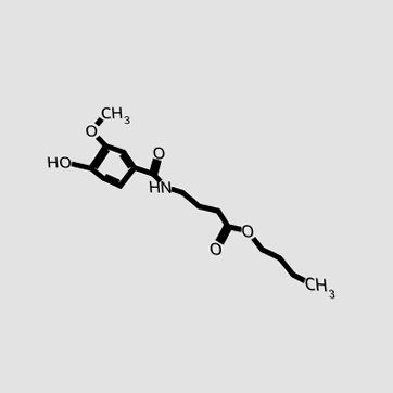 CCCCOC(=O)CCCNC(=O)c1ccc(O)c(OC)c1